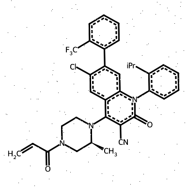 C=CC(=O)N1CCN(c2c(C#N)c(=O)n(-c3ccccc3C(C)C)c3cc(-c4ccccc4C(F)(F)F)c(Cl)cc23)[C@@H](C)C1